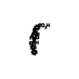 O=C(NCCNC(=O)c1c(F)cc(O[C@H]2CC[C@@H](C(=O)O)CC2)cc1F)c1ccc(N2CCCCC2)cc1